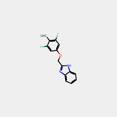 O=Cc1c(F)cc(OCc2nc3ccccc3[nH]2)cc1F